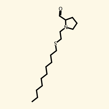 CCCCCCCCCCSCCN1CCCC1C=O